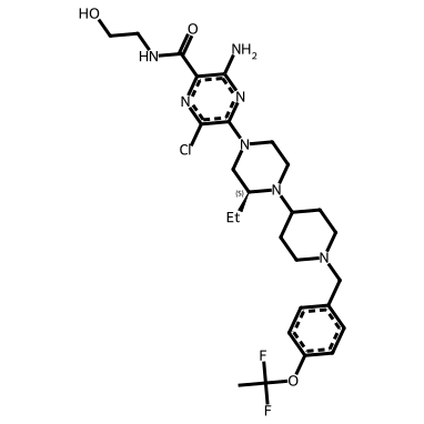 CC[C@H]1CN(c2nc(N)c(C(=O)NCCO)nc2Cl)CCN1C1CCN(Cc2ccc(OC(C)(F)F)cc2)CC1